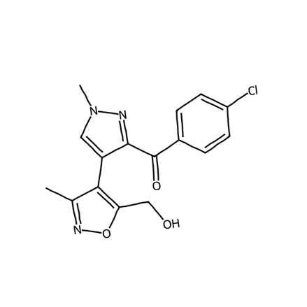 Cc1noc(CO)c1-c1cn(C)nc1C(=O)c1ccc(Cl)cc1